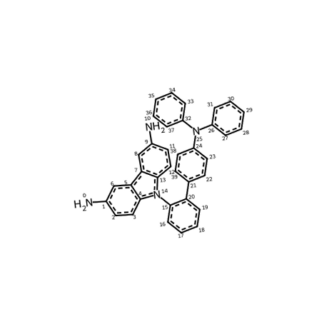 Nc1ccc2c(c1)c1cc(N)ccc1n2-c1ccccc1-c1ccc(N(c2ccccc2)c2ccccc2)cc1